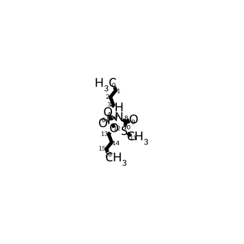 CCCCOP(=O)(NC(=O)SC)OCCCC